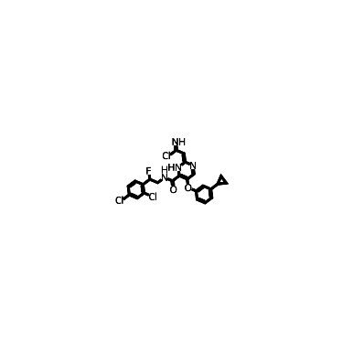 N=C(Cl)/C=C1/N=CC(Oc2cccc(C3CC3)c2)=C(C(=O)NCC(F)c2ccc(Cl)cc2Cl)N1